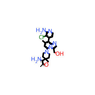 Cc1cc(N2CCC3(CC2)CO[C@@H](C)[C@H]3N)n2c(CO)cnc2c1-c1ccnc(N)c1Cl